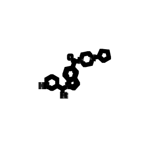 CCC(C1CCCNC1)n1ccc2cc(C(=O)N3CCN(C4CCCC4)CC3)ccc21